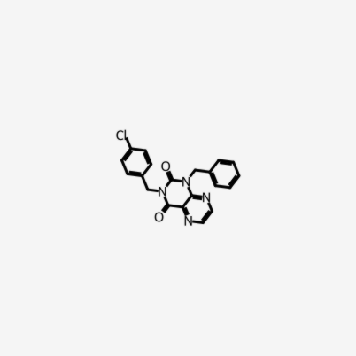 O=c1c2nccnc2n(Cc2ccccc2)c(=O)n1Cc1ccc(Cl)cc1